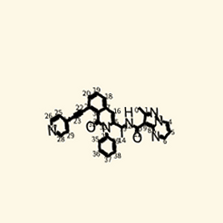 Cc1nn2cccnc2c1C(=O)N[C@@H](C)c1cc2cccc(C#Cc3ccncc3)c2c(=O)n1-c1ccccc1